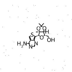 CC1(C)O[C@@H]2[C@@H](CO)O[C@@H](c3scc4c(N)ncnc34)[C@]2(C)O1